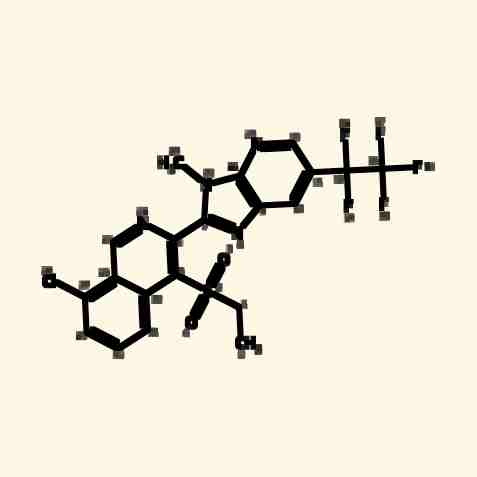 CCS(=O)(=O)c1c(-c2nc3cc(C(F)(F)C(F)(F)F)cnc3n2C)ncc2c(Cl)cccc12